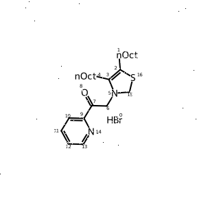 Br.CCCCCCCCC1=C(CCCCCCCC)N(CC(=O)c2ccccn2)CS1